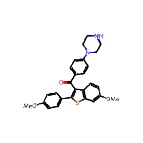 COc1ccc(-c2sc3cc(OC)ccc3c2C(=O)c2ccc(N3CCNCC3)cc2)cc1